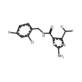 Nc1nc(C(F)F)c(C(=O)NCc2ccc(F)cc2Cl)s1